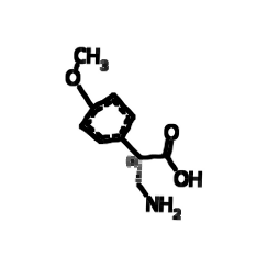 COc1ccc([C@@H](CN)C(=O)O)cc1